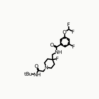 CC(C)(C)NC(=O)CN1CCC(F)(CNC(=O)c2cc(F)cc(OC(F)F)c2)CC1